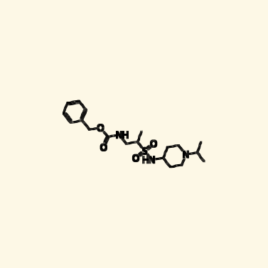 CC(C)N1CCC(NS(=O)(=O)C(C)CNC(=O)OCc2ccccc2)CC1